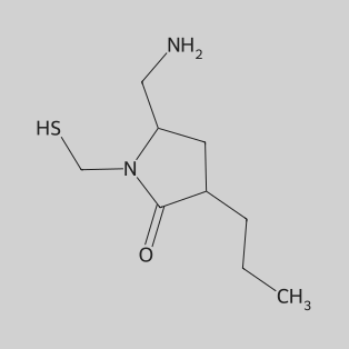 CCCC1CC(CN)N(CS)C1=O